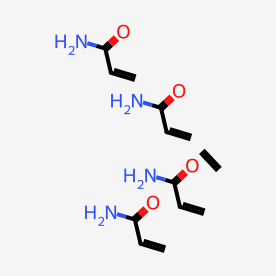 C=C.C=CC(N)=O.C=CC(N)=O.C=CC(N)=O.C=CC(N)=O